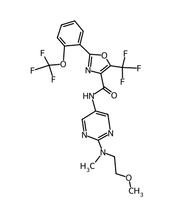 COCCN(C)c1ncc(NC(=O)c2nc(-c3ccccc3OC(F)(F)F)oc2C(F)(F)F)cn1